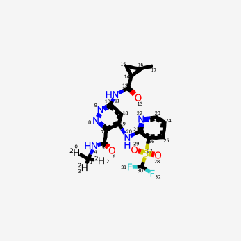 [2H]C([2H])([2H])NC(=O)c1nnc(NC(=O)C2CC2C)cc1Nc1ncccc1S(=O)(=O)C(F)F